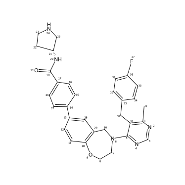 Cc1ncnc(N2CCOc3ccc(-c4ccc(C(=O)N[C@@H]5CCNC5)cc4)cc3C2)c1Cc1ccc(F)cc1